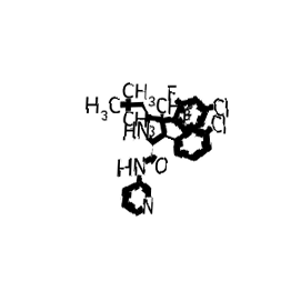 CC(C)(C)C[C@@H]1N[C@@H](C(=O)Nc2cccnc2)[C@H](c2cccc(Cl)c2F)[C@@]1(C)c1ccc(Cl)cc1F